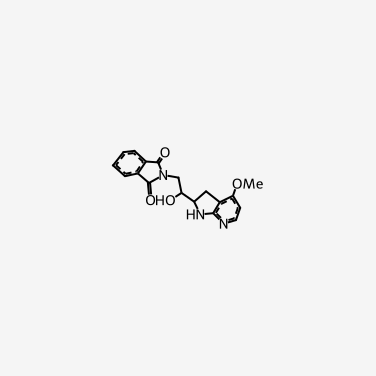 COc1ccnc2c1CC(C(O)CN1C(=O)c3ccccc3C1=O)N2